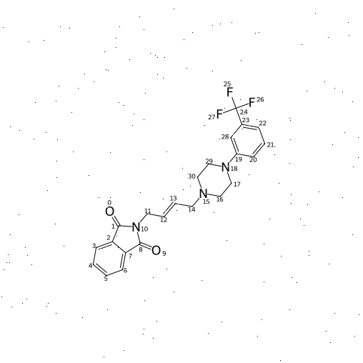 O=C1c2ccccc2C(=O)N1CC=CCN1CCN(c2cccc(C(F)(F)F)c2)CC1